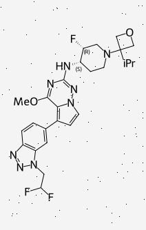 COc1nc(N[C@H]2CCN(C3(C(C)C)COC3)C[C@H]2F)nn2ccc(-c3ccc4nnn(CC(F)F)c4c3)c12